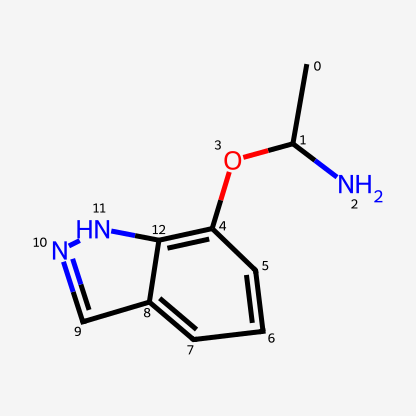 CC(N)Oc1cccc2cn[nH]c12